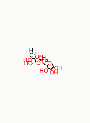 C[C@@H](OC[C@H]1OC[C@H](O)[C@@H](O)[C@@H]1O)O[C@H](CO)[C@@H](O)[C@@H](C)O